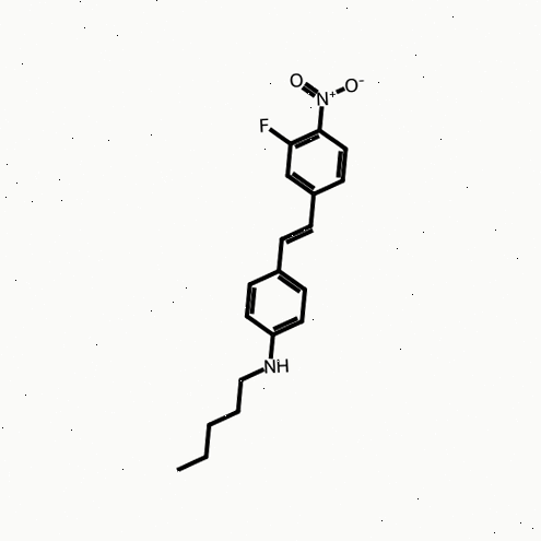 CCCCCNc1ccc(C=Cc2ccc([N+](=O)[O-])c(F)c2)cc1